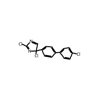 ClC1=NC(Cl)(c2ccc(-c3ccc(Cl)cc3)cc2)C=N1